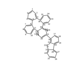 c1ccc2c(c1)-c1ccccc1-c1ncc(-c3cccc4c3sc3ccccc34)nc1-c1ccccc1-2